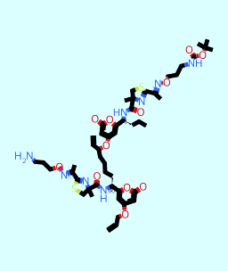 C=CCOc1cc([C@@H](CCCCC(C=C)Oc2cc([C@@H](CCC)NC(=O)C3(C)CSC(/C(C)=N/OCCCNC(=O)OC(C)(C)C)=N3)oc(=O)c2)NC(=O)C2(C)CSC(/C(C)=N/OCCCN)=N2)oc(=O)c1